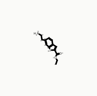 CCOC(=O)c1cc2ccc(CCN)cc2s1